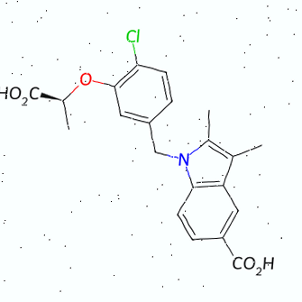 Cc1c(C)n(Cc2ccc(Cl)c(O[C@@H](C)C(=O)O)c2)c2ccc(C(=O)O)cc12